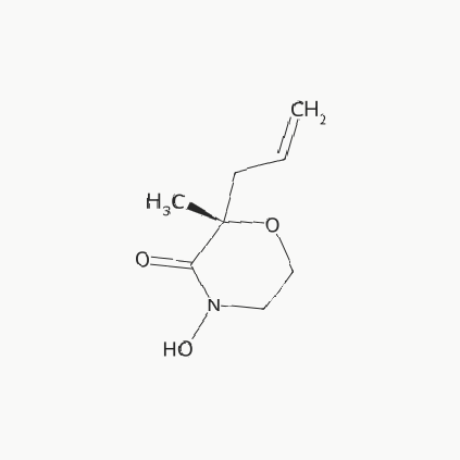 C=CC[C@]1(C)OCCN(O)C1=O